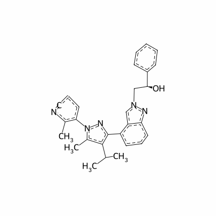 Cc1ncccc1-n1nc(-c2cccc3nn(C[C@H](O)c4ccccc4)cc23)c(C(C)C)c1C